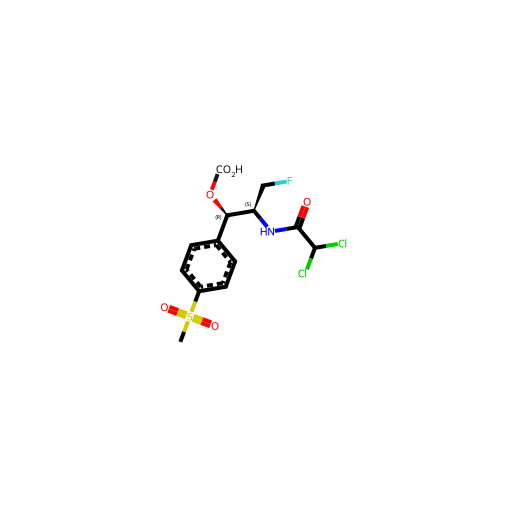 CS(=O)(=O)c1ccc([C@@H](OC(=O)O)[C@@H](CF)NC(=O)C(Cl)Cl)cc1